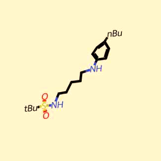 CCCCc1ccc(NCCCCCNS(=O)(=O)C(C)(C)C)cc1